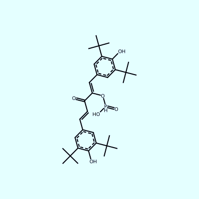 CC(C)(C)c1cc(C=CC(=O)C(=Cc2cc(C(C)(C)C)c(O)c(C(C)(C)C)c2)O[PH](=O)O)cc(C(C)(C)C)c1O